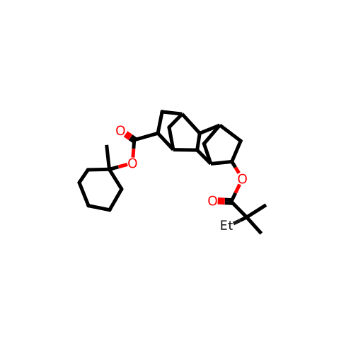 CCC(C)(C)C(=O)OC1CC2CC1C1C3CC(CC3C(=O)OC3(C)CCCCC3)C21